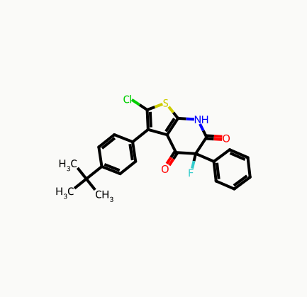 CC(C)(C)c1ccc(-c2c(Cl)sc3c2C(=O)C(F)(c2ccccc2)C(=O)N3)cc1